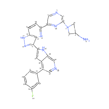 NC1CN(c2cncc(-c3ccc4[nH]nc(-c5cc6c(-c7cccc(F)c7)cncc6[nH]5)c4n3)n2)C1